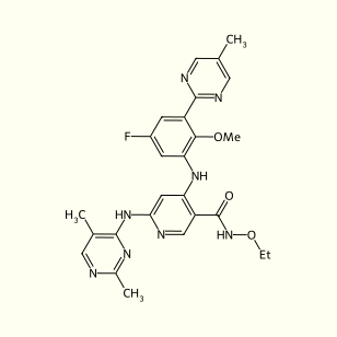 CCONC(=O)c1cnc(Nc2nc(C)ncc2C)cc1Nc1cc(F)cc(-c2ncc(C)cn2)c1OC